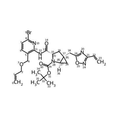 C=CCOCc1ccc(Br)nc1NC(=O)[C@@H]1C[C@@]2(Cc3nc(C=C)no3)C[C@H]2N1C(=O)OC(C)(C)C